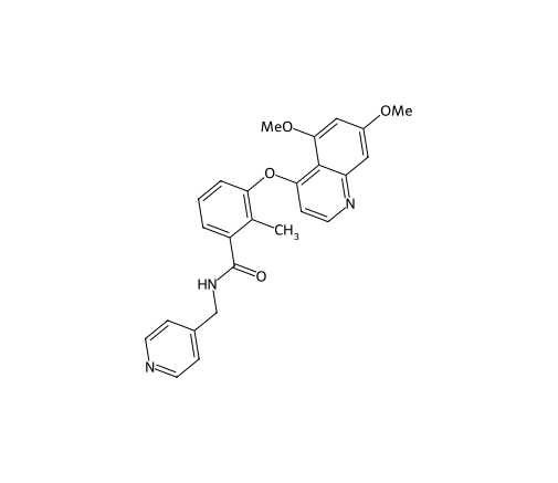 COc1cc(OC)c2c(Oc3cccc(C(=O)NCc4ccncc4)c3C)ccnc2c1